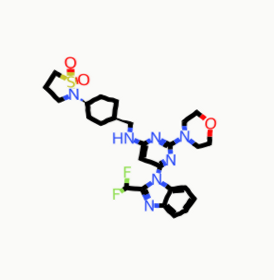 O=S1(=O)CCCN1[C@H]1CC[C@H](CNc2cc(-n3c(C(F)F)nc4ccccc43)nc(N3CCOCC3)n2)CC1